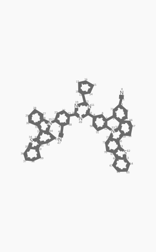 N#Cc1cccc(-c2cc(-c3nc(-c4ccccc4)nc(-c4ccc(-n5c6ccccc6c6c7sc8ccccc8c7ccc65)c(C#N)c4)n3)ccc2-n2c3ccccc3c3c4sc5ccccc5c4ccc32)c1